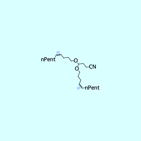 CCCCC/C=C\CCCOC(CCC#N)OCCC/C=C\CCCCC